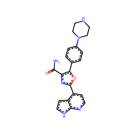 NC(=O)c1nc(-c2ccnc3[nH]ccc23)oc1-c1ccc(N2CCNCC2)cc1